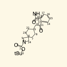 CC(C)(C)OC(=O)N1CC2(CCC(CC(=O)c3ccccc3C(N)=O)CC2)C1